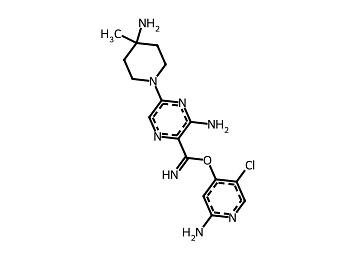 CC1(N)CCN(c2cnc(C(=N)Oc3cc(N)ncc3Cl)c(N)n2)CC1